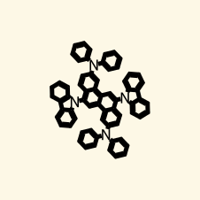 C1=Cc2c(c3ccccc3n2-c2cc3c4cc(N(c5ccccc5)c5ccccc5)ccc4c(-n4c5ccccc5c5ccccc54)cc3c3cc(N(c4ccccc4)c4ccccc4)ccc23)CC1